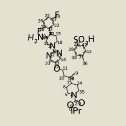 CC(C)OC(=O)N1CCC([C@H](C)CCOc2cnc(N3CC[C@H](c4cc(F)ccc4F)[C@@H](N)C3)nc2)CC1.Cc1ccc(S(=O)(=O)O)cc1